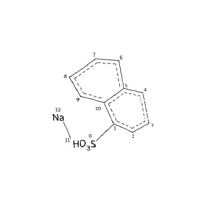 O=S(=O)(O)c1cccc2ccccc12.[CH3][Na]